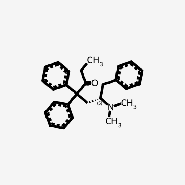 CCC(=O)C(C[C@H](Cc1ccccc1)N(C)C)(c1ccccc1)c1ccccc1